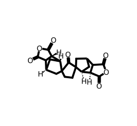 O=C1OC(=O)[C@@H]2C1C1C[C@@H]2C2(CCC3(C[C@@H]4C[C@@H]3[C@H]3C(=O)OC(=O)C43)C2=O)C1